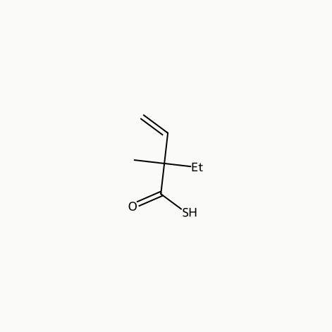 C=CC(C)(CC)C(=O)S